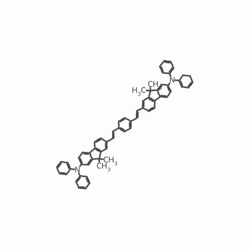 CC1(C)c2cc(/C=C/c3ccc(/C=C/c4ccc5c(c4)C(C)(C)c4cc(N(c6ccccc6)c6ccccc6)ccc4-5)cc3)ccc2-c2ccc(N(C3=CC=CCC3)c3ccccc3)cc21